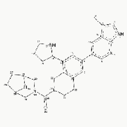 Cc1c[nH]c2ncc(-c3cc4c(c(C5CCCN5)c3)CN(C(=O)N3CC5CCC(C3)O5)CC4)cc12